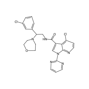 O=C(NCC(c1cccc(Cl)c1)N1CCOCC1)c1cn(-c2ncccn2)c2nccc(Cl)c12